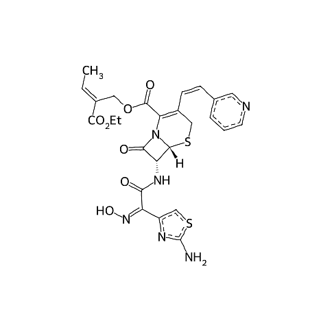 C/C=C(\COC(=O)C1=C(/C=C\c2cccnc2)CS[C@@H]2[C@H](NC(=O)/C(=N\O)c3csc(N)n3)C(=O)N12)C(=O)OCC